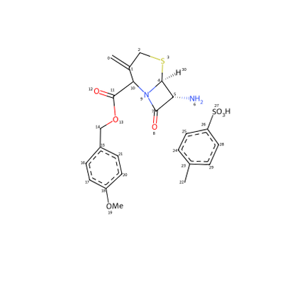 C=C1CS[C@H]2[C@H](N)C(=O)N2C1C(=O)OCc1ccc(OC)cc1.Cc1ccc(S(=O)(=O)O)cc1